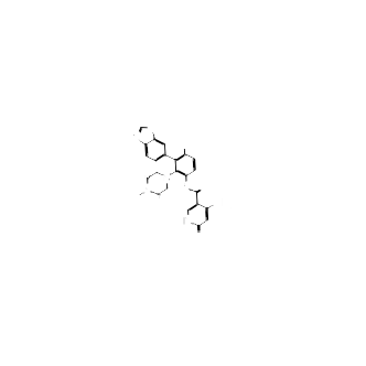 C[C@@H]1CN(c2c(NC(=O)c3c[nH]c(=O)cc3C(F)(F)F)ccc(F)c2-c2ccc3ncsc3c2)C[C@H](C)N1C